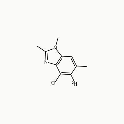 [2H]c1c(C)cc2c(nc(C)n2C)c1Cl